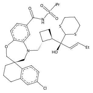 CC/C=C/[C@@](O)(C1SCCCS1)[C@@H]1CC[C@H]1CN1C[C@@]2(CCCc3cc(Cl)ccc32)COc2ccc(C(=O)NS(=O)(=O)C(C)C)cc21